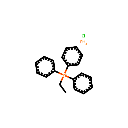 CC[P+](c1ccccc1)(c1ccccc1)c1ccccc1.P.[Cl-]